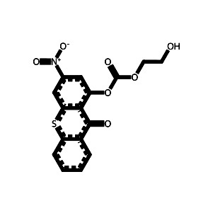 O=C(OCCO)Oc1cc([N+](=O)[O-])cc2sc3ccccc3c(=O)c12